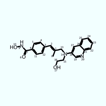 C/C(=C\c1ccc(C(=O)NO)cc1)CN(CCO)c1cnc2ccccc2c1